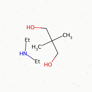 CC(C)(CO)CO.CCNCC